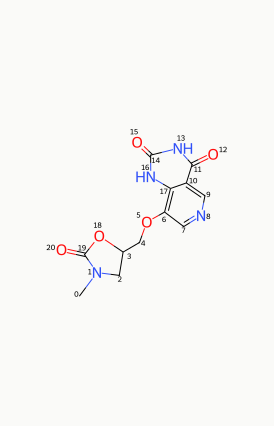 CN1CC(COc2cncc3c(=O)[nH]c(=O)[nH]c23)OC1=O